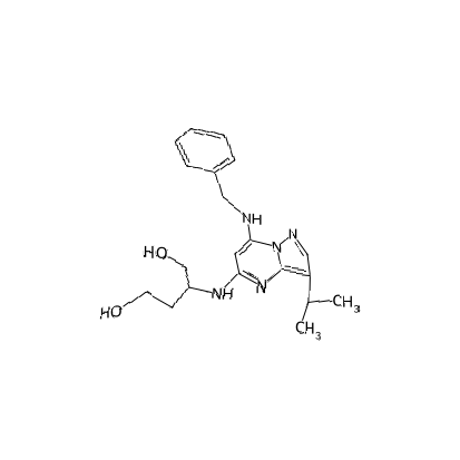 CC(C)c1cnn2c(NCc3ccccc3)cc(NC(CO)CCO)nc12